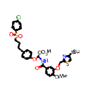 COc1ccc(C(=O)NC(Oc2ccc(CCCS(=O)(=O)c3ccc(Cl)cc3)cc2)C(=O)O)cc1OCc1nc(C(C)(C)C)cs1